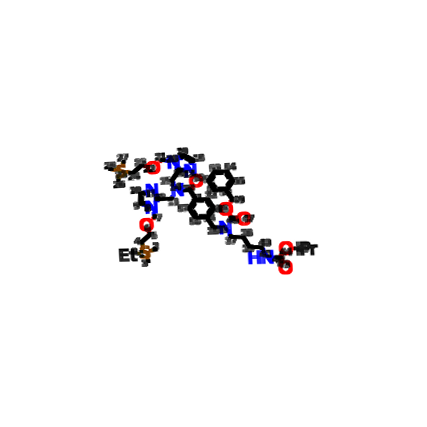 CCS(C)(C)CCOCn1ccnc1CN(Cc1nccn1COCCS(C)(C)C)C(=O)c1ccc(CN(CCCCNC(=O)OC(C)C)C(=O)OCc2ccccc2)cc1